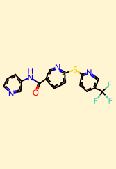 O=C(Nc1cccnc1)c1ccc(Sc2ccc(C(F)(F)F)cn2)nc1